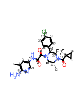 Cc1cc(NC(=O)C(=O)N2C[C@@H](C)N(C(=O)C3(C(F)(F)F)CC3)CC2c2ccc(Cl)cc2)cnc1N